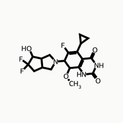 COC1c2[nH]c(=O)[nH]c(=O)c2C(C2CC2)=C(F)C1N1CC2CC(F)(F)C(O)C2C1